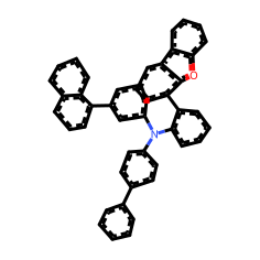 c1ccc(-c2ccc(N(c3cccc(-c4cccc5ccccc45)c3)c3ccccc3-c3cccc4c3oc3ccccc34)cc2)cc1